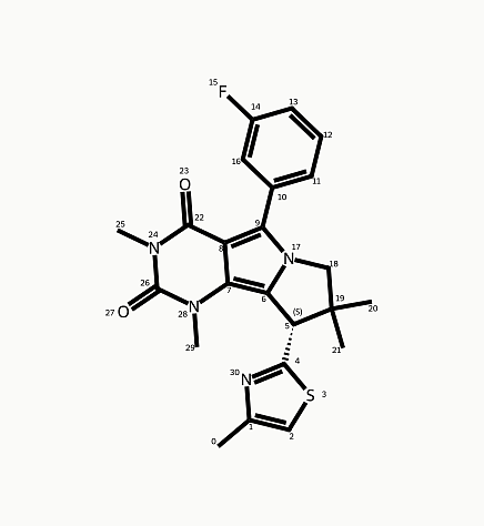 Cc1csc([C@@H]2c3c4c(c(-c5cccc(F)c5)n3CC2(C)C)c(=O)n(C)c(=O)n4C)n1